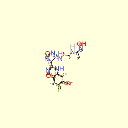 C/C(=N/O)NCCNc1nonc1/C(=N/O)Nc1ccc(F)c(Br)c1